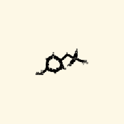 COc1cnc(CS(N)(=O)=O)nc1